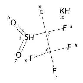 O=[SH](=O)C(F)(F)C(F)(F)F.[KH]